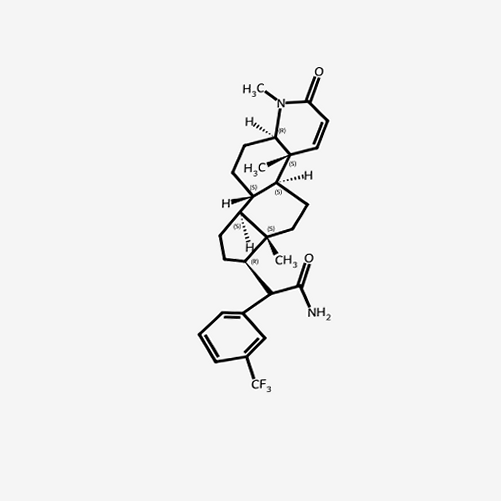 CN1C(=O)C=C[C@]2(C)[C@H]3CC[C@]4(C)[C@@H](C(C(N)=O)c5cccc(C(F)(F)F)c5)CC[C@H]4[C@@H]3CC[C@@H]12